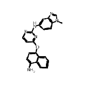 Cn1cnc2cc(Nc3nccc(Oc4ccc(N)c5ccccc45)n3)ccc21